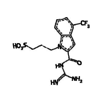 N=C(N)NC(=O)c1cc2c(C(F)(F)F)cccc2n1CCCS(=O)(=O)O